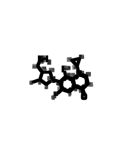 CC1CN(c2c(F)cc3c(=O)ccn(C4CC4)c3c2F)CC1CN